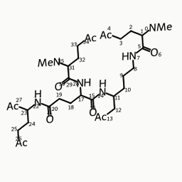 CNC(CCC(C)=O)C(=O)NCCCC(CC(C)=O)NC(=O)C(CCC(=O)NC(CCC(C)=O)C(C)=O)NC(=O)C(CCC(C)=O)NC